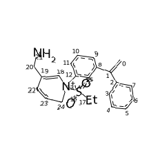 C=C(c1ccccc1)c1cccc([N+]2(S(=O)(=O)CC)C=C(CN)C=CC2)c1